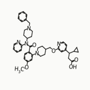 COc1ccc(C(=O)N(c2ccccn2)C2CCN(Cc3ccccc3)CC2)c(N2CCC(COc3cc(C(CC(=O)O)C4CC4)ccn3)CC2)c1